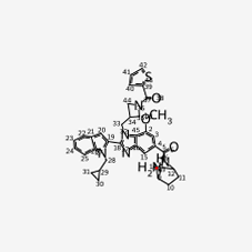 COc1cc(C(=O)N2CC3CCC2[C@@H]3N)cc2nc(-c3cc4ccccc4n3CC3CC3)n(CC3CN(C(=O)c4cccs4)C3)c12